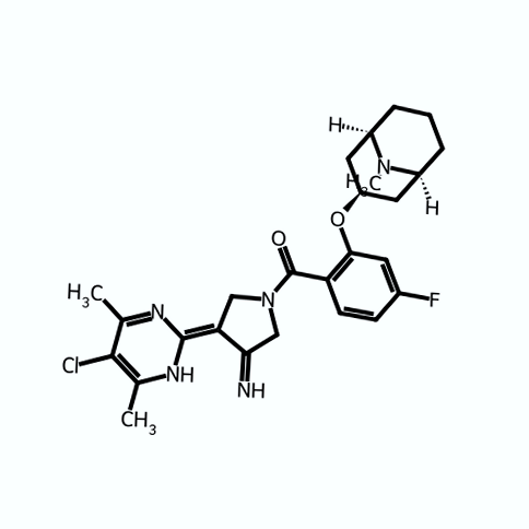 CC1=N/C(=C2\CN(C(=O)c3ccc(F)cc3O[C@H]3C[C@H]4CCC[C@@H](C3)N4C)CC2=N)NC(C)=C1Cl